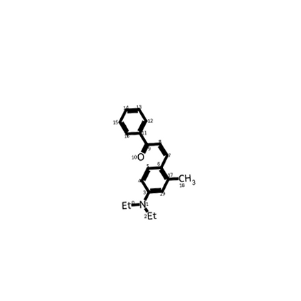 CCN(CC)c1ccc(/C=C\C(=O)c2ccccc2)c(C)c1